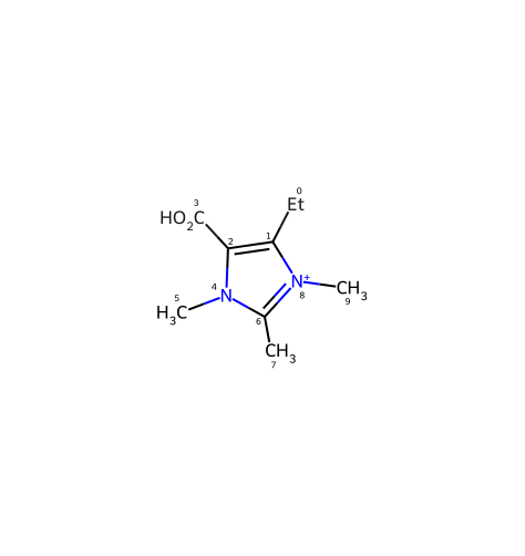 CCc1c(C(=O)O)n(C)c(C)[n+]1C